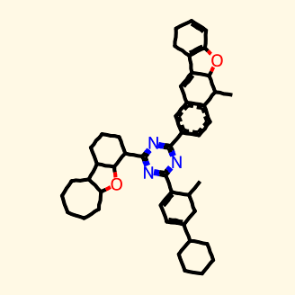 CC1CC(C2CCCCC2)=CC=C1c1nc(-c2ccc3c(c2)C=C2C4=C(C=CCC4)OC2C3C)nc(C2CCCC3C4CCCCCC4OC23)n1